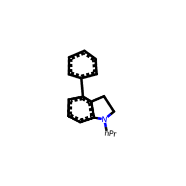 CCCN1CCc2c(-c3ccccc3)cccc21